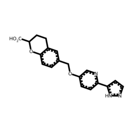 O=C(O)C1CCc2cc(COc3ccc(-c4ccn[nH]4)nc3)ccc2O1